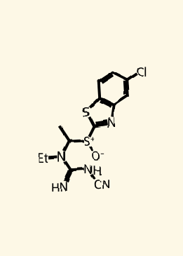 CCN(C(=N)NC#N)C(C)[S+]([O-])c1nc2cc(Cl)ccc2s1